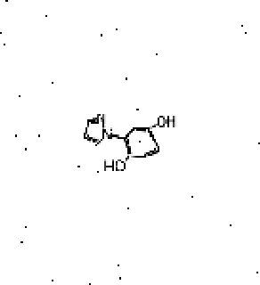 Oc1ccc(O)c(-n2cccn2)c1